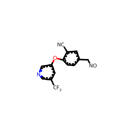 N#Cc1cc(CN=O)ccc1Oc1cncc(C(F)(F)F)c1